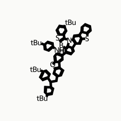 CC(C)(C)c1ccc(Nc2cc3oc4cc(CC(c5ccc(C(C)(C)C)cc5)c5ccc(C(C)(C)C)cc5)ccc4c3cc2-c2ccc3c4cc5sc6ccccc6c5cc4n4c3c2Bc2sc3ccc(C(C)(C)C)cc3c2-4)cc1